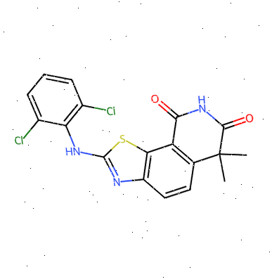 CC1(C)C(=O)NC(=O)c2c1ccc1nc(Nc3c(Cl)cccc3Cl)sc21